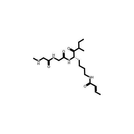 C/C=C/C(=O)NCCCC[C@H](NC(=O)CNC(=O)CNC)C(=O)C(C)CC